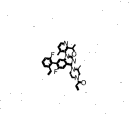 C=CC(=O)N1CCN(c2nc(=O)n(-c3c(C)ccnc3C(C)C)c3cc(-c4c(F)cccc4C=C)c(F)cc23)[C@@H](C)C1